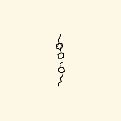 CCCCC[C@H]1CC[C@H](CC[C@H]2CC[C@H](c3ccc(CCC)cc3)CC2)CC1